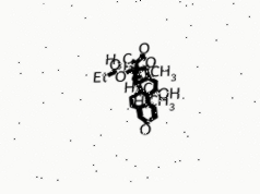 CCC(=O)OCC(=O)[C@@]12OC(=O)C(C)[C@H]1C[C@H]1[C@@H]3CCC4=CC(=O)C=C[C@]4(C)[C@@]3(Cl)[C@@H](O)C[C@@]12C